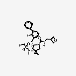 O=C(NCC1COC1)N1CC2(CC2)[C@H](NS(=O)(=O)CF)[C@@H]1Cc1cccc(-c2ccccc2)c1F